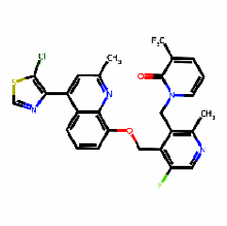 Cc1cc(-c2ncsc2Cl)c2cccc(OCc3c(F)cnc(C)c3Cn3cccc(C(F)(F)F)c3=O)c2n1